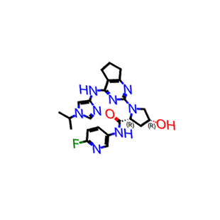 CC(C)n1cnc(Nc2nc(N3C[C@H](O)C[C@@H]3C(=O)Nc3ccc(F)nc3)nc3c2CCC3)c1